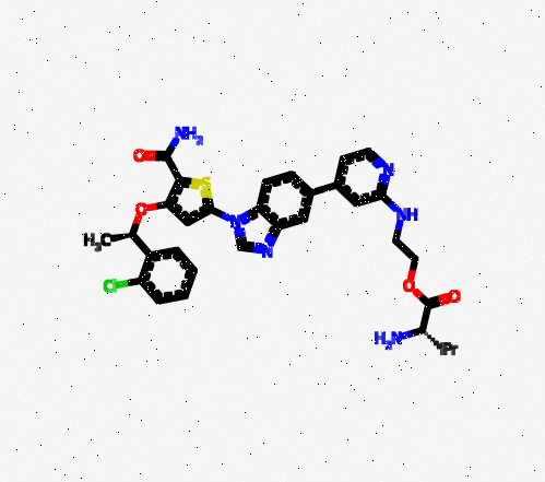 CC(C)[C@H](N)C(=O)OCCNc1cc(-c2ccc3c(c2)ncn3-c2cc(O[C@H](C)c3ccccc3Cl)c(C(N)=O)s2)ccn1